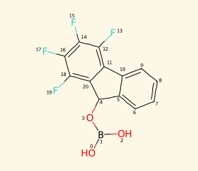 OB(O)OC1c2ccccc2-c2c(F)c(F)c(F)c(F)c21